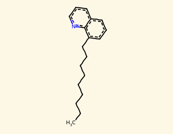 CCCCCCCCCc1cccc2cccnc12